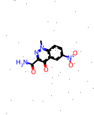 Cn1nc(C(N)=O)c(=O)c2cc([N+](=O)[O-])ccc21